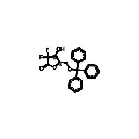 O=C1O[C@H](COC(c2ccccc2)(c2ccccc2)c2ccccc2)[C@H](O)C1(F)F